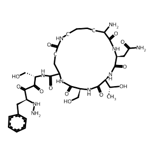 C[C@@H](O)[C@@H]1NC(=O)[C@H](CC(N)=O)NC(=O)C(N)CCCCNC(=O)CCC(C(=O)N[C@@H](CO)C(=O)C(=O)[C@H](Cc2ccccc2)NN)NC(=O)[C@H](CO)NC1=O